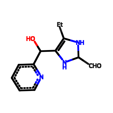 CCC1=C(C(O)c2ccccn2)NC(C=O)N1